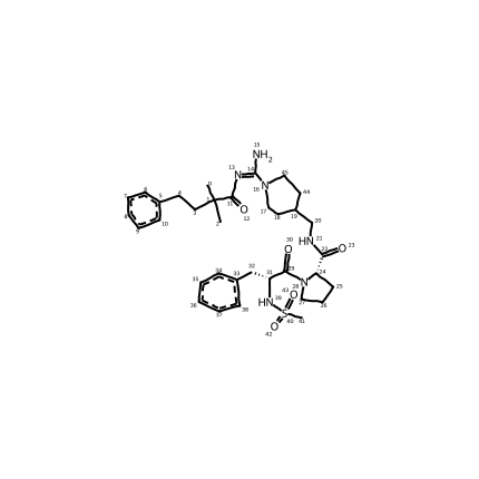 CC(C)(CCc1ccccc1)C(=O)/N=C(/N)N1CCC(CNC(=O)[C@@H]2CCCN2C(=O)[C@@H](Cc2ccccc2)NS(C)(=O)=O)CC1